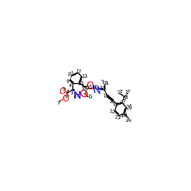 CO/N=C(/C(=O)OC)c1ccccc1CO/N=C(\C)C#Cc1ccc(C)cc1C(C)C